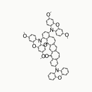 COc1ccc2c(c1)Oc1cc(OC)ccc1N2c1ccc(N2c3ccc(OC)cc3Oc3cc(OC)ccc32)c2c(=O)c3cc4c(=O)c5ccc(N6c7ccccc7Oc7ccccc76)cc5ccc4cc3ccc12